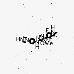 COc1c(Nc2ccc(N3CCNCC3)cc2)ncnc1Oc1cc(F)c2[nH]c(C)cc2c1F